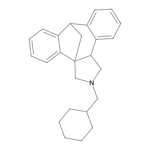 c1ccc2c(c1)C1CC3(CN(CC4CCCCC4)CC23)c2ccccc21